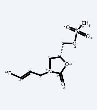 CS(=O)(=O)OC[C@H]1CN(C/C=C/F)C(=O)O1